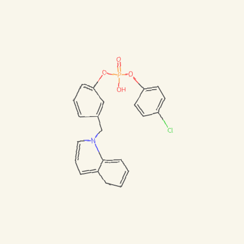 O=P(O)(Oc1ccc(Cl)cc1)Oc1cccc(CN2C=CC=C3CC=CC=C32)c1